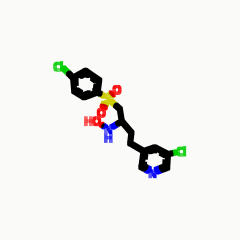 O=S(=O)(CC(CCc1cncc(Cl)c1)NO)c1ccc(Cl)cc1